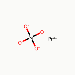 [O-][Si]([O-])([O-])[O-].[Pr+4]